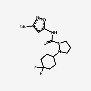 CC(C)(C)c1cc(NC(=O)N2CCCN2C2CCC(F)(F)CC2)on1